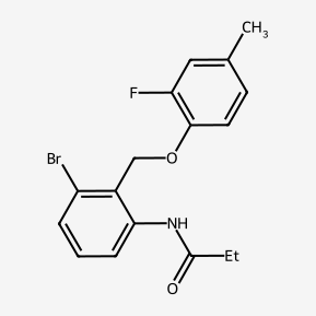 CCC(=O)Nc1cccc(Br)c1COc1ccc(C)cc1F